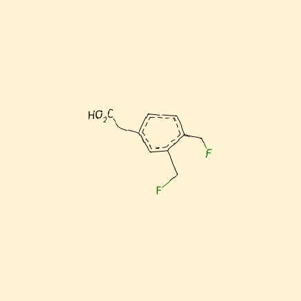 O=C(O)Cc1ccc(CF)c(CF)c1